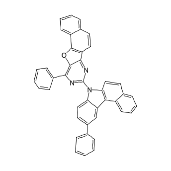 c1ccc(-c2ccc3c(c2)c2c4ccccc4ccc2n3-c2nc(-c3ccccc3)c3oc4c5ccccc5ccc4c3n2)cc1